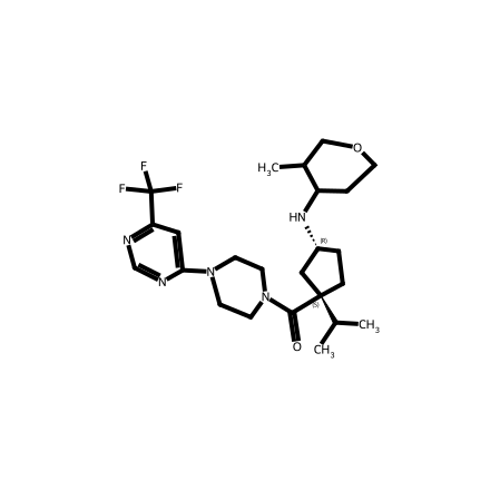 CC1COCCC1N[C@@H]1CC[C@@](C(=O)N2CCN(c3cc(C(F)(F)F)ncn3)CC2)(C(C)C)C1